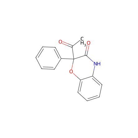 CC(=O)C1(c2ccccc2)Oc2ccccc2NC1=O